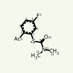 CC(=O)c1ccc(F)cc1SC(=O)N(C)C